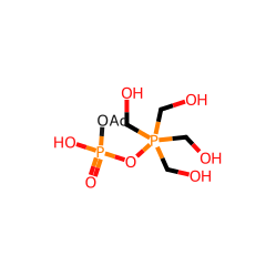 CC(=O)OP(=O)(O)OP(CO)(CO)(CO)CO